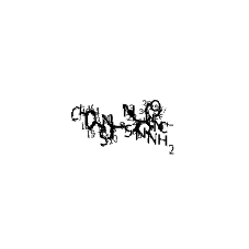 [C-]#[N+]c1c(N)nc(SCc2csc(-c3ccc(Cl)cc3)n2)c(C#N)c1N1CCOCC1